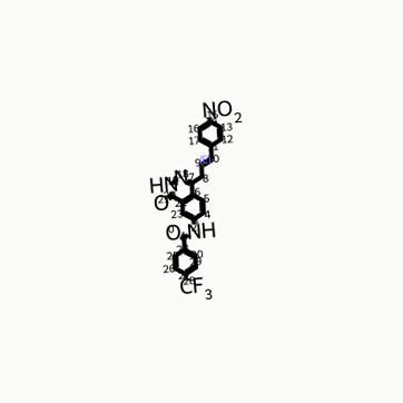 O=C(Nc1ccc2c(C/C=C/c3ccc([N+](=O)[O-])cc3)n[nH]c(=O)c2c1)c1ccc(C(F)(F)F)cc1